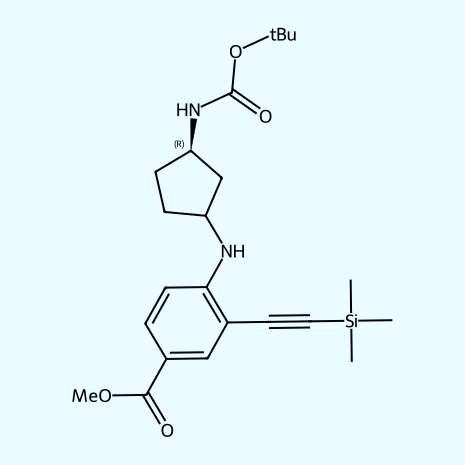 COC(=O)c1ccc(NC2CC[C@@H](NC(=O)OC(C)(C)C)C2)c(C#C[Si](C)(C)C)c1